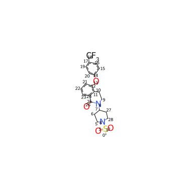 CS(=O)(=O)N1CCC(N2CCc3c(Oc4ccc(C(F)(F)F)cc4)cccc3C2=O)CC1